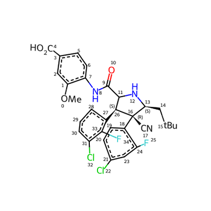 COc1cc(C(=O)O)ccc1NC(=O)C1N[C@@H](CC(C)(C)C)[C@](C#N)(c2ccc(Cl)cc2F)[C@H]1c1cccc(Cl)c1F